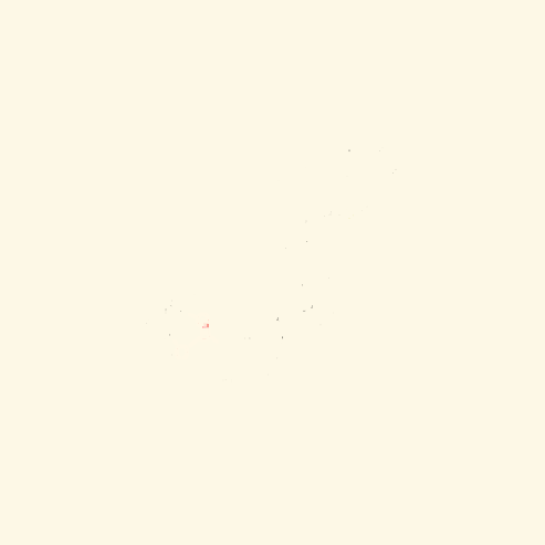 CC1(C)OB(c2cccc(-c3cccc(-c4ccc(-c5cccc6c5sc5ccccc56)cc4)c3)c2)OC1(C)C